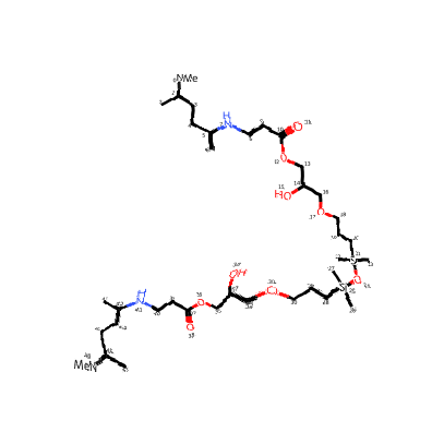 CNC(C)CCC(C)NCCC(=O)OCC(O)COCCC[Si](C)(C)O[Si](C)(C)CCCOCC(O)COC(=O)CCNC(C)CCC(C)NC